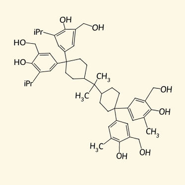 Cc1cc(C2(c3cc(C)c(O)c(CO)c3)CCC(C(C)(C)C3CCC(c4cc(CO)c(O)c(C(C)C)c4)(c4cc(CO)c(O)c(C(C)C)c4)CC3)CC2)cc(CO)c1O